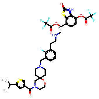 CC(C)c1cc(C(=O)N2CCOC3(CCN(Cc4cccc(CCNC[C@H](OC(=O)C(F)(F)F)c5ccc(OC(=O)C(F)(F)F)c6[nH]c(=O)sc56)c4F)CC3)C2)cs1